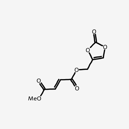 COC(=O)/C=C/C(=O)OCc1coc(=O)o1